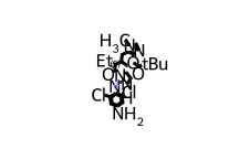 CC[C@H](C(=O)N1CCN/C1=N\c1c(Cl)cc(N)cc1Cl)C(COC(=O)C(C)(C)C)Cc1cncn1C